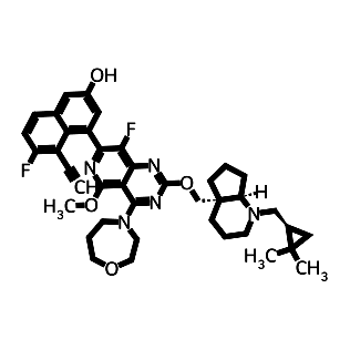 C#Cc1c(F)ccc2cc(O)cc(-c3nc(OC)c4c(N5CCCOCC5)nc(OC[C@]56CCC[C@H]5N(C[C@H]5CC5(C)C)CCC6)nc4c3F)c12